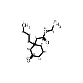 CCCCC1(CC(=O)OCC)CCCC(=O)C1